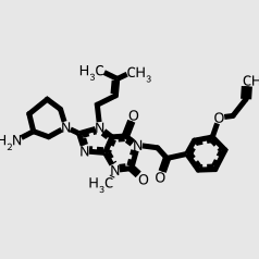 C#CCOc1cccc(C(=O)Cn2c(=O)c3c(nc(N4CCCC(N)C4)n3CC=C(C)C)n(C)c2=O)c1